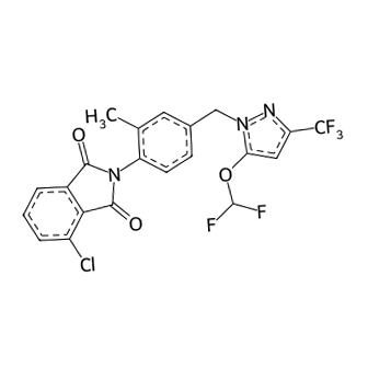 Cc1cc(Cn2nc(C(F)(F)F)cc2OC(F)F)ccc1N1C(=O)c2cccc(Cl)c2C1=O